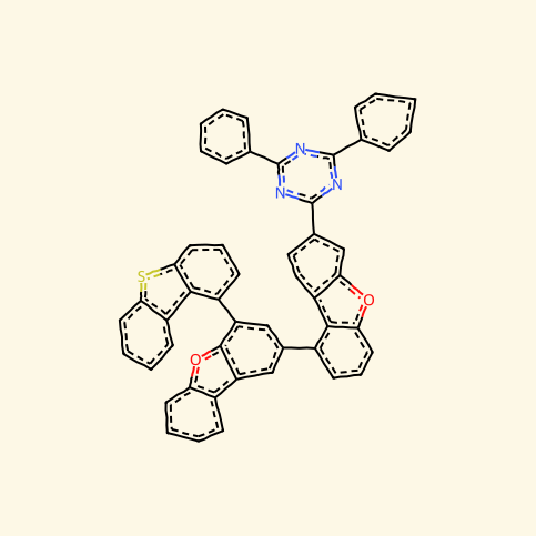 c1ccc(-c2nc(-c3ccccc3)nc(-c3ccc4c(c3)oc3cccc(-c5cc(-c6cccc7sc8ccccc8c67)c6oc7ccccc7c6c5)c34)n2)cc1